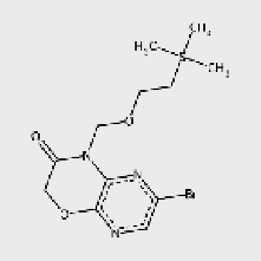 CS(C)(C)CCOCN1C(=O)COc2ncc(Br)nc21